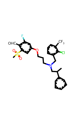 CC(CN(CCCOc1cc(F)c(C=O)c(S(C)(=O)=O)c1)Cc1cccc(C(F)(F)F)c1Cl)c1ccccc1